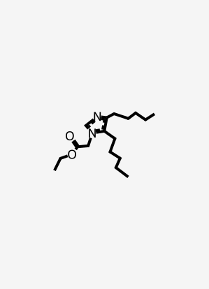 CCCCCc1ncn(CC(=O)OCC)c1CCCCC